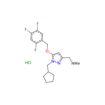 CNCc1cc(OCc2cc(F)c(F)cc2F)n(CC2CCCC2)n1.Cl